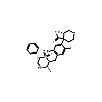 COC(=O)C1(c2cc(F)c(CC3[C@H](C)NC[C@H](c4ccccc4)S3(=O)=O)cc2F)CCOCC1